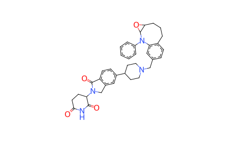 O=C1CCC(N2Cc3cc(C4CCN(Cc5ccc6c(c5)N(c5ccccc5)C5OC5CCC6)CC4)ccc3C2=O)C(=O)N1